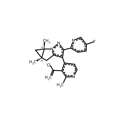 C=C(Cl)c1c(-c2c(-c3ccc(F)cn3)nn3c2C[C@]2(C)C[C@]32C)ccnc1C